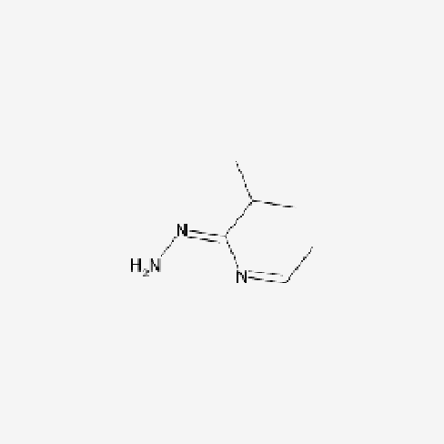 C/C=N\C(=N/N)C(C)C